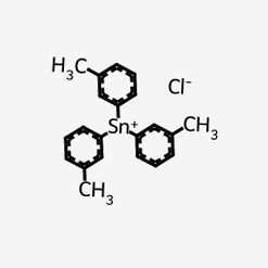 Cc1ccc[c]([Sn+]([c]2cccc(C)c2)[c]2cccc(C)c2)c1.[Cl-]